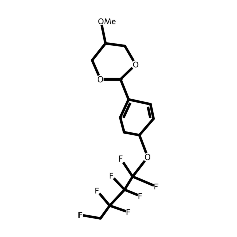 COC1COC(C2=CCC(OC(F)(F)C(F)(F)C(F)(F)CF)C=C2)OC1